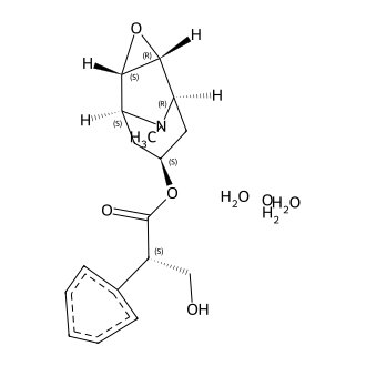 CN1[C@@H]2C[C@@H](OC(=O)[C@H](CO)c3ccccc3)C[C@H]1[C@@H]1O[C@@H]12.O.O.O